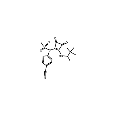 CC(Nc1c(N(c2ccc(C#N)cc2)S(C)(=O)=O)c(=O)c1=O)C(C)(C)C